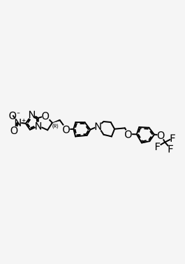 O=[N+]([O-])c1cn2c(n1)O[C@@H](COc1ccc(N3CCC(COc4ccc(OC(F)(F)F)cc4)CC3)cc1)C2